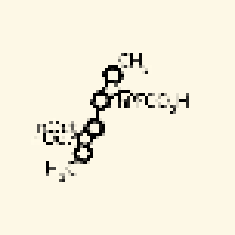 CCCCCCCCC1(CCCCCCCC)c2cc(C)ccc2-c2ccc(-c3ccc4c(c3)C(CCC)(CCCC(=O)O)c3cc(C)ccc3-4)cc21